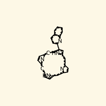 C1=Cc2cc3cc(-c4ccc5ccccc5n4)c(cc4nc(cc5ccc(cc1n2)[nH]5)C=C4)[nH]3